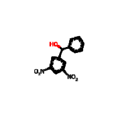 O=[N+]([O-])c1cc(C(O)c2ccccc2)cc([N+](=O)[O-])c1